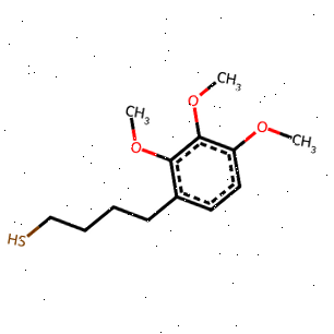 COc1ccc(CCCCS)c(OC)c1OC